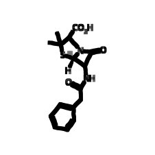 CC1(C)S[C@H]2C(NC(=O)Cc3ccccc3)C(=O)N2C1C(=O)O